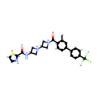 Cc1cc(-c2ccc(C(F)(F)F)cc2)ccc1C(=O)N1CC(N2CC(NC(=O)c3nccs3)C2)C1